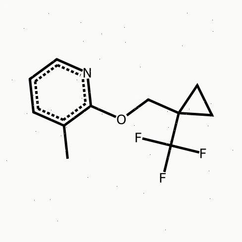 Cc1cccnc1OCC1(C(F)(F)F)CC1